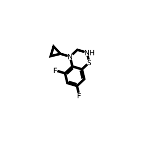 Fc1cc(F)c2c(c1)SNCN2C1CC1